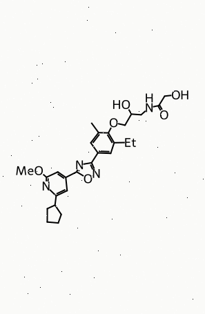 CCc1cc(-c2noc(-c3cc(OC)nc(C4CCCC4)c3)n2)cc(C)c1OCC(O)CNC(=O)CO